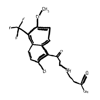 COc1ccc2c(C(=O)CNCC(=O)O)c(Cl)ccc2c1C(F)(F)F